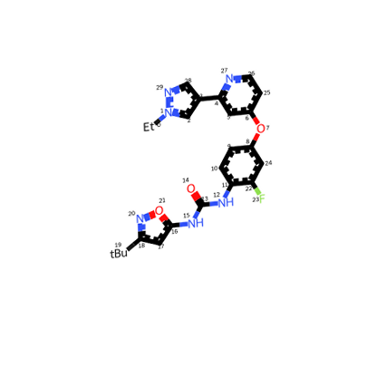 CCn1cc(-c2cc(Oc3ccc(NC(=O)Nc4cc(C(C)(C)C)no4)c(F)c3)ccn2)cn1